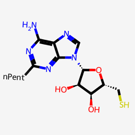 CCCCCc1nc(N)c2ncn([C@@H]3O[C@H](CS)[C@@H](O)[C@H]3O)c2n1